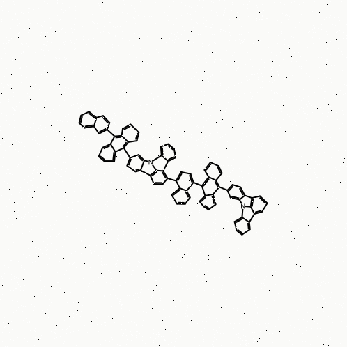 c1ccc2cc(-c3c4ccccc4c(-c4ccc5c6ccc(-c7ccc(-c8c9ccccc9c(-c9ccc%10c%11cccc%12c%13ccccc%13n(c%10c9)c%12%11)c9ccccc89)c8ccccc78)c7c8ccccc8n(c5c4)c67)c4ccccc34)ccc2c1